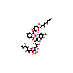 C=C/C=C/C=C(\C)[C@@H](O)C[C@@H]1CC[C@@H](C)[C@](O)(C(=O)C(=O)N2CCCC[C@H]2C(=O)O[C@@H](CC(=O)[C@H](C)/C=C(\C)[C@@H](O)[C@@H](O)C(=O)[C@H](C)C[C@@H](C)C=C)[C@H](C)C[C@H]2CC[C@H](OC)CC2)O1